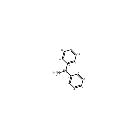 N[N+](c1ccccc1)c1ccccc1